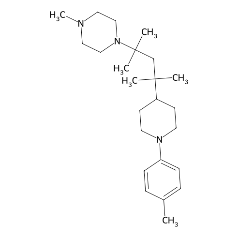 Cc1ccc(N2CCC(C(C)(C)CC(C)(C)N3CCN(C)CC3)CC2)cc1